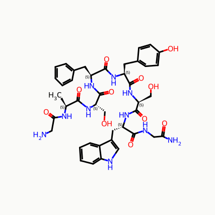 C[C@H](NC(=O)CN)C(=O)N[C@@H](CO)C(=O)N[C@@H](Cc1ccccc1)C(=O)N[C@@H](Cc1ccc(O)cc1)C(=O)N[C@@H](CO)C(=O)N[C@@H](Cc1c[nH]c2ccccc12)C(=O)NCC(N)=O